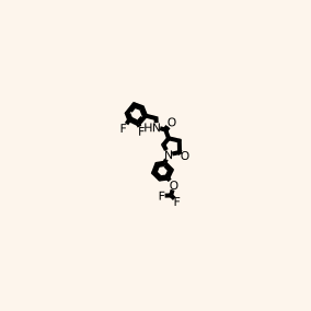 O=C(NCc1cccc(F)c1F)C1CC(=O)N(c2cccc(OC(F)F)c2)C1